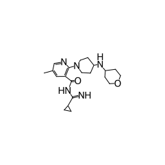 Cc1cnc(N2CCC(NC3CCOCC3)CC2)c(C(=O)NC(=N)C2CC2)c1